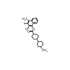 Cc1c(I)c(Cl)c(OC(=O)C2CCC(C3CCC(C)CC3)CC2)c2ccccc12